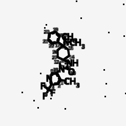 Cc1cc(C(F)(F)F)ncc1N1C[C@]2(CC[C@](c3ccccc3)(N(C)C)CC2)NC1=O